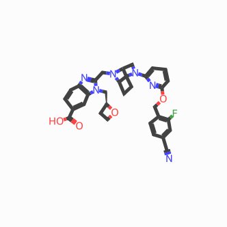 N#Cc1ccc(COc2cccc(N3CC4N(Cc5nc6ccc(C(=O)O)cc6n5C[C@@H]5CCO5)C5CCC543)n2)c(F)c1